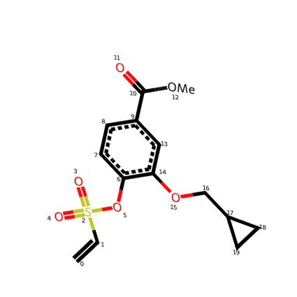 C=CS(=O)(=O)Oc1ccc(C(=O)OC)cc1OCC1CC1